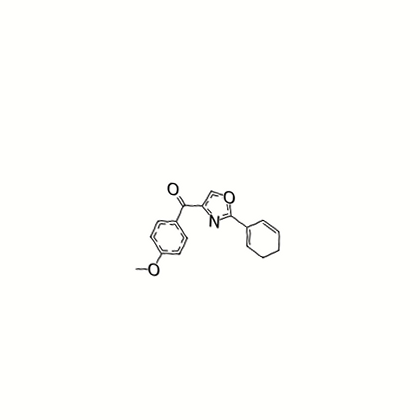 COc1ccc(C(=O)c2coc(C3=CCCC=C3)n2)cc1